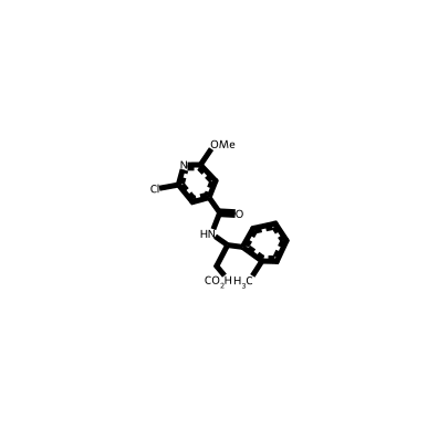 COc1cc(C(=O)NC(CC(=O)O)c2ccccc2C)cc(Cl)n1